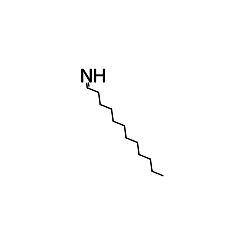 CCCCCCCCCCCC=N